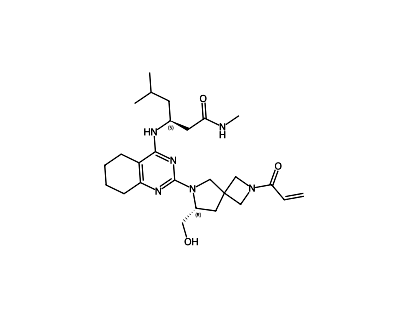 C=CC(=O)N1CC2(C[C@H](CO)N(c3nc4c(c(N[C@H](CC(=O)NC)CC(C)C)n3)CCCC4)C2)C1